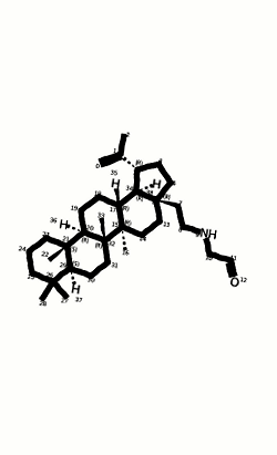 C=C(C)[C@@H]1CC[C@]2(CCNCC=O)CC[C@]3(C)[C@H](CC[C@@H]4[C@@]5(C)CCCC(C)(C)[C@@H]5CC[C@]43C)[C@@H]12